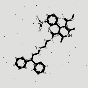 COC(=O)C1=C(C)NC(C)=C(C(=O)OCCNCCC(c2ccccc2)c2ccccc2)C1c1cccc([N+](=O)[O-])c1